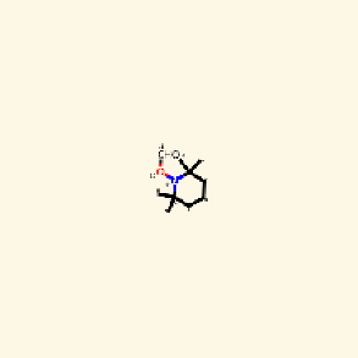 CC1(C)CCCC(C)(C)N1OC=O